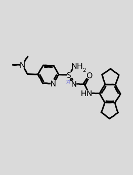 CN(C)Cc1ccc(/S(N)=N/C(=O)Nc2c3c(cc4c2CCC4)CCC3)nc1